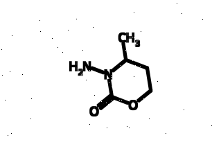 CC1CCOC(=O)N1N